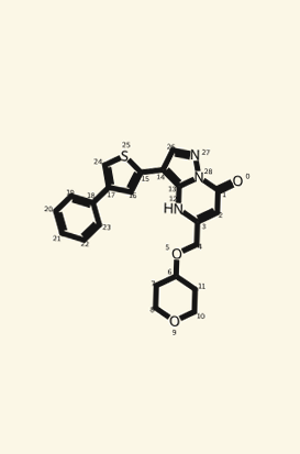 O=c1cc(COC2CCOCC2)[nH]c2c(-c3cc(-c4ccccc4)cs3)cnn12